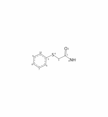 [NH]C(=O)CSc1ccccc1